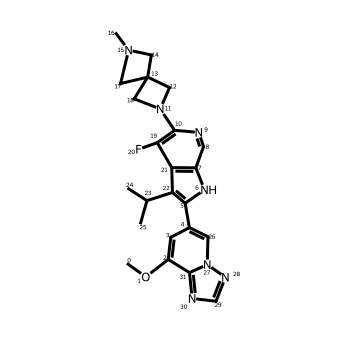 COc1cc(-c2[nH]c3cnc(N4CC5(CN(C)C5)C4)c(F)c3c2C(C)C)cn2ncnc12